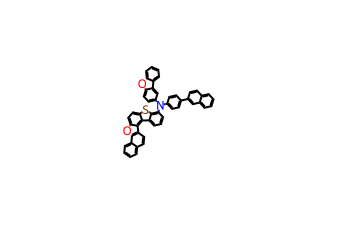 c1ccc2cc(-c3ccc(N(c4ccc5oc6ccccc6c5c4)c4cccc5c4sc4ccc6oc7c8ccccc8ccc7c6c45)cc3)ccc2c1